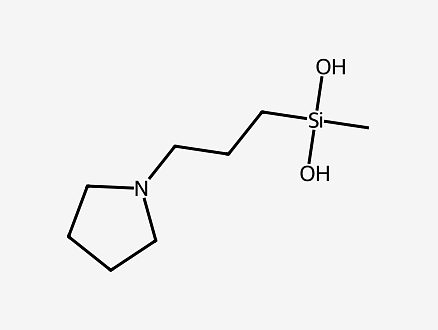 C[Si](O)(O)CCCN1CCCC1